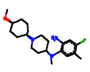 CO[C@H]1CC[C@@H](N2CCC(N(C)c3cc(C)c(F)cc3N)CC2)CC1